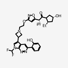 CC[C@@H]1C[C@@H](O)CC1C(=O)[C@@H](c1cc(OCCN2CC(c3cn(C(F)F)c4nnc(-c5ccccc5O)cc34)C2)no1)C(C)C